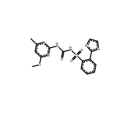 COc1cc(C)nc(NC(=O)NS(=O)(=O)c2ccccc2-c2ncco2)n1